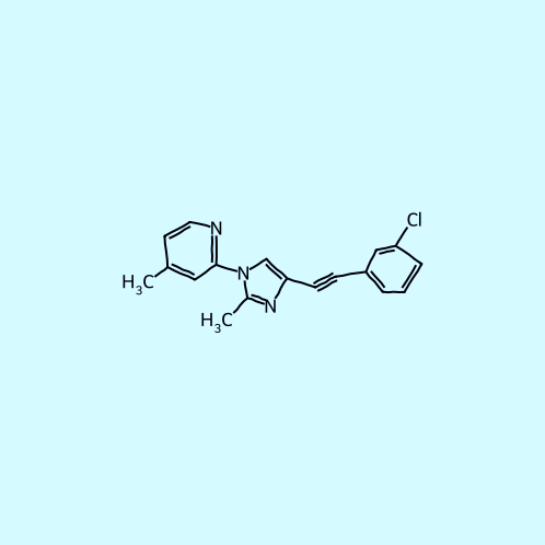 Cc1ccnc(-n2cc(C#Cc3cccc(Cl)c3)nc2C)c1